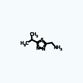 CC(C)c1nnc(CN)s1